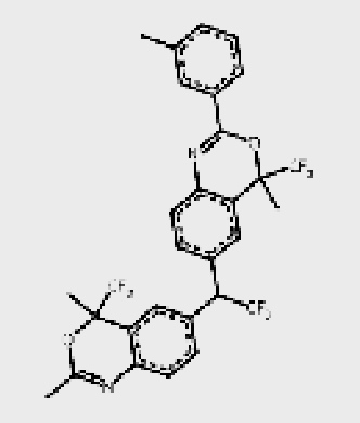 CC1=Nc2ccc(C(c3ccc4c(c3)C(C)(C(F)(F)F)OC(c3cccc(C)c3)=N4)C(F)(F)F)cc2C(C)(C(F)(F)F)O1